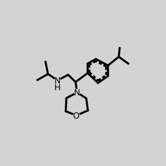 CC(C)NCC(c1ccc(C(C)C)cc1)N1CCOCC1